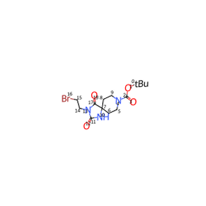 CC(C)(C)OC(=O)N1CCC2(CC1)NC(=O)N(CCBr)C2=O